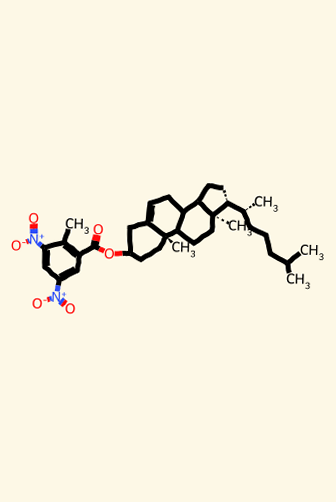 Cc1c(C(=O)OC2CC[C@@]3(C)C(=CCC4C3CC[C@@]3(C)C4CC[C@@H]3[C@H](C)CCCC(C)C)C2)cc([N+](=O)[O-])cc1[N+](=O)[O-]